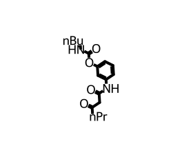 CCCCNC(=O)Oc1cccc(NC(=O)CC(=O)CCC)c1